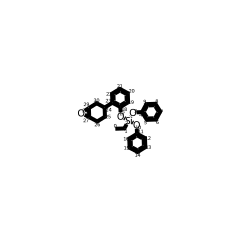 CC[Si](Oc1ccccc1)(Oc1ccccc1)Oc1ccccc1C1CCC2OC2C1